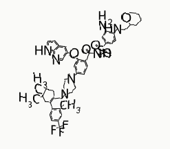 Cc1cc(C(F)(F)F)ccc1C1=C(CN2CCN(c3ccc(C(=O)NS(=O)(=O)c4ccc(NCC5CCCCO5)c(N)c4)c(Oc4cnc5[nH]ccc5c4)c3)CC2)CCC(C)(C)C1